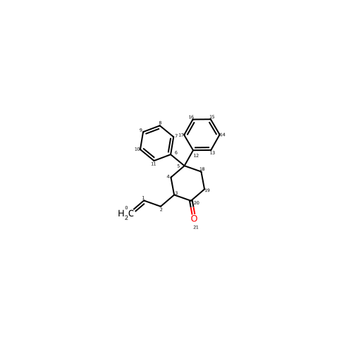 C=CCC1CC(c2ccccc2)(c2ccccc2)CCC1=O